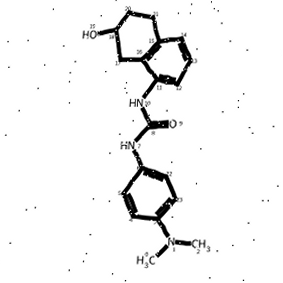 CN(C)c1ccc(NC(=O)Nc2cccc3c2CC(O)CC3)cc1